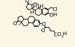 C[C@]12CCC3c4ccc(OC(=O)CCCC(=O)O)cc4CCC3C1CCC2=O.C[C@]12CC[C@@H]3c4cc(CCl)c(O)cc4CC[C@H]3[C@@H]1CCC2=O